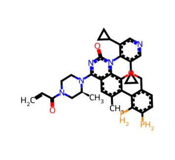 C=CC(=O)N1CCN(c2nc(=O)n(-c3c(C4CC4)cncc3C3CC3)c3c4c(c(C)cc23)-c2c(ccc(P)c2P)CO4)[C@@H](C)C1